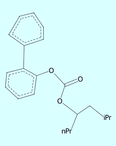 CCCC(CC(C)C)OC(=O)Oc1ccccc1-c1ccccc1